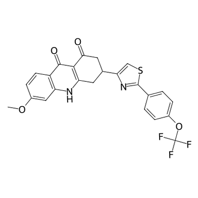 COc1ccc2c(=O)c3c([nH]c2c1)CC(c1csc(-c2ccc(OC(F)(F)F)cc2)n1)CC3=O